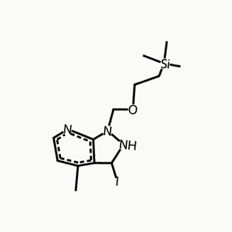 Cc1ccnc2c1C(I)NN2COCC[Si](C)(C)C